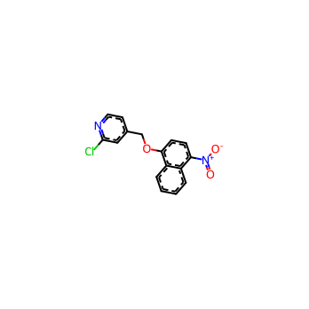 O=[N+]([O-])c1ccc(OCc2ccnc(Cl)c2)c2ccccc12